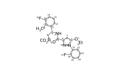 CCOc1cc(C(=O)NC(CC(=O)O)c2cccc(F)c2C)nn1-c1ccccc1F